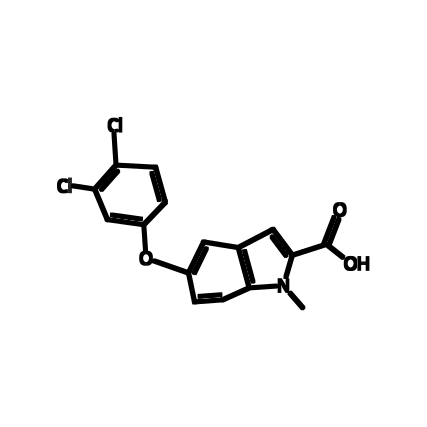 Cn1c(C(=O)O)cc2cc(Oc3ccc(Cl)c(Cl)c3)ccc21